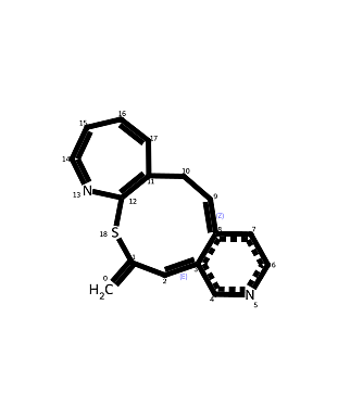 C=C1/C=c2/cncc/c2=C/CC2=C(N=C=CC=C2)S1